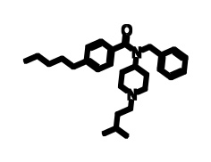 CCCCCc1ccc(C(=O)N(Cc2ccccc2)C2CCN(CCC(C)C)CC2)cc1